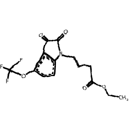 CCOC(=O)CCCN1C(=O)C(=O)c2cc(OC(F)(F)F)ccc21